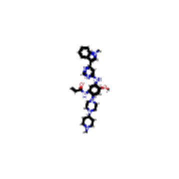 C=CC(=O)Nc1cc(Nc2cc(-c3cn(C)c4ccccc34)ncn2)c(OC)cc1N1CCN(C2CCN(C)CC2)CC1